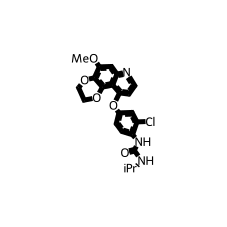 COc1cc2nccc(Oc3ccc(NC(=O)NC(C)C)c(Cl)c3)c2c2c1OCCO2